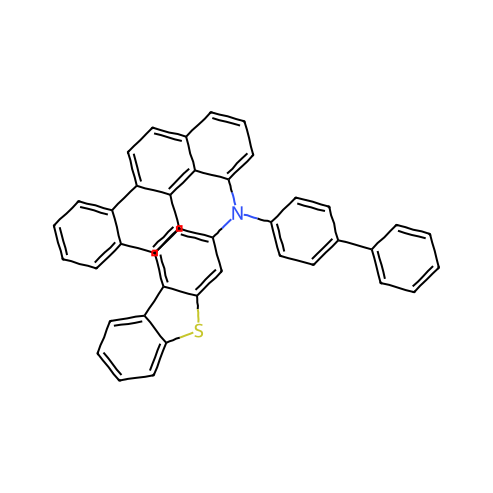 c1ccc(-c2ccc(N(c3ccc4c(c3)sc3ccccc34)c3cccc4ccc5c6ccccc6ccc5c34)cc2)cc1